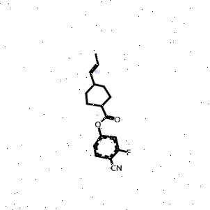 C/C=C/C1CCC(C(=O)Oc2ccc(C#N)c(F)c2)CC1